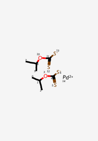 CC(C)OC(=S)[S-].CC(C)OC(=S)[S-].[Pd+2]